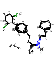 CC#N.CCC(CCc1ccc(C2C(F)CCCC2F)cc1)N(CC)CCc1ccccc1